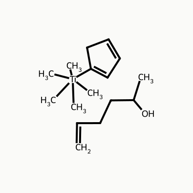 C=CCCC(C)O.[CH3][Ti]([CH3])([CH3])([CH3])([CH3])[C]1=CC=CC1